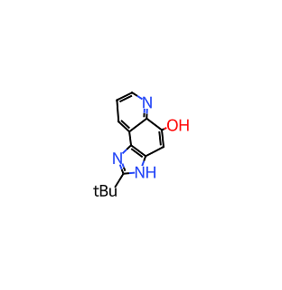 CC(C)(C)c1nc2c(cc(O)c3ncccc32)[nH]1